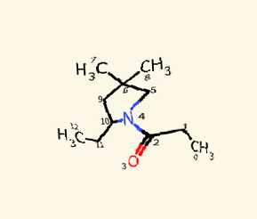 CCC(=O)N1CC(C)(C)CC1CC